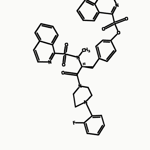 CN([C@@H](Cc1ccc(OS(=O)(=O)c2nccc3ccccc23)cc1)C(=O)N1CCN(c2ccccc2F)CC1)S(=O)(=O)c1nccc2ccccc12